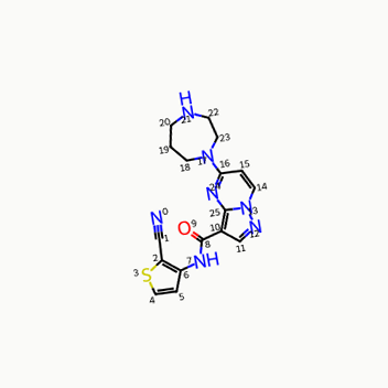 N#Cc1sccc1NC(=O)c1cnn2ccc(N3CCCNCC3)nc12